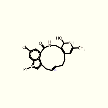 CC1=CC2=C(CNC(=O)c3cc(Cl)cc4c3c(cn4C(C)C)C/C=C/CC2)C(O)N1